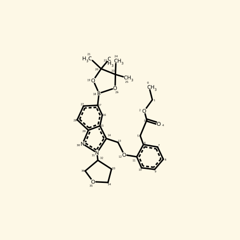 CCOC(=O)Cc1ccccc1OCc1c2cc(B3OC(C)(C)C(C)(C)O3)ccc2nn1C1CCOC1